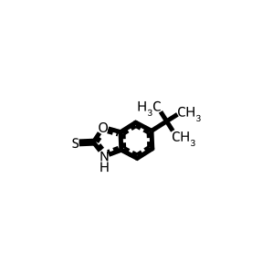 CC(C)(C)c1ccc2[nH]c(=S)oc2c1